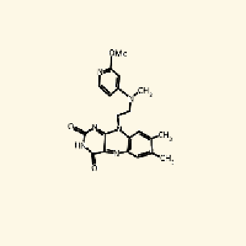 COc1cc(N(C)CCn2c3nc(=O)[nH]c(=O)c-3nc3cc(C)c(C)cc32)ccn1